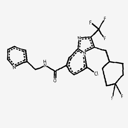 O=C(NCc1ccccn1)c1cc(Cl)n2c(CC3CCC(F)(F)CC3)c(C(F)(F)F)nc2c1